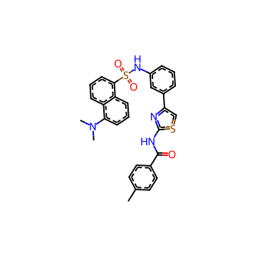 Cc1ccc(C(=O)Nc2nc(-c3cccc(NS(=O)(=O)c4cccc5c(N(C)C)cccc45)c3)cs2)cc1